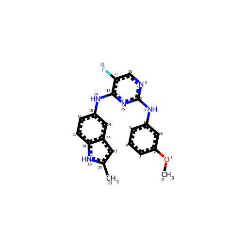 COc1cccc(Nc2ncc(F)c(Nc3ccc4[nH]c(C)cc4c3)n2)c1